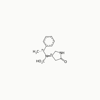 C[C@H](c1ccccc1)N(C(=O)O)[C@H]1CNC(=O)C1